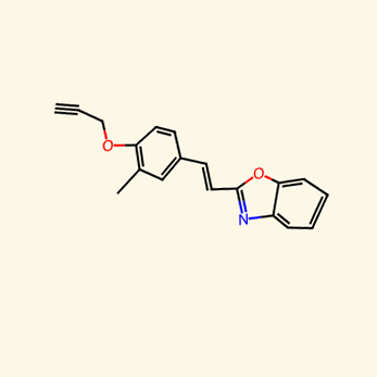 C#CCOc1ccc(/C=C/c2nc3ccccc3o2)cc1C